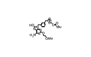 COCCOc1nc(N)c2nc(O)n(Cc3cccc(C[PH](=O)OCOC(=O)C(C)(C)C)c3)c2n1